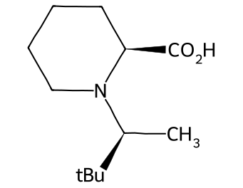 C[C@H](N1CCCC[C@H]1C(=O)O)C(C)(C)C